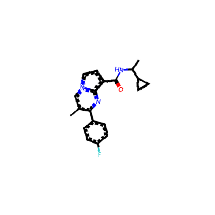 Cc1cn2ccc(C(=O)NC(C)C3CC3)c2nc1-c1ccc(F)cc1